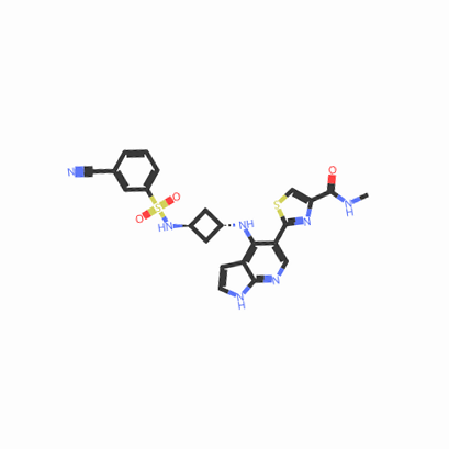 CNC(=O)c1csc(-c2cnc3[nH]ccc3c2N[C@H]2C[C@H](NS(=O)(=O)c3cccc(C#N)c3)C2)n1